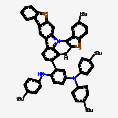 CC(C)(C)c1ccc(Nc2ccc(N(c3ccc(C(C)(C)C)cc3)c3ccc(C(C)(C)C)cc3)cc2-c2ccc3c4cc5c(cc4n4c3c2Bc2sc3ccc(C(C)(C)C)cc3c2-4)sc2ccccc25)cc1